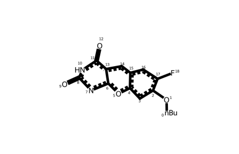 CCCCOc1cc2oc3nc(=O)[nH]c(=O)c-3cc2cc1F